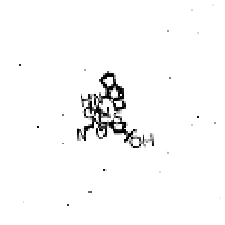 CC(C)(O)c1csc([S@](=O)(=NC(=O)Nc2c3c(cc4c2CC4)CCC3)NC#N)c1